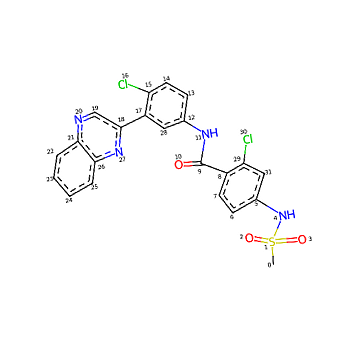 CS(=O)(=O)Nc1ccc(C(=O)Nc2ccc(Cl)c(-c3cnc4ccccc4n3)c2)c(Cl)c1